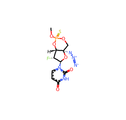 COP1(=S)OC[C@@]2(N=[N+]=[N-])O[C@@H](n3ccc(=O)[nH]c3=O)[C@H](F)[C@@H]2O1